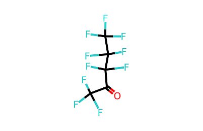 O=C(C(F)(F)F)C(F)(F)C(F)(F)C(F)(F)F